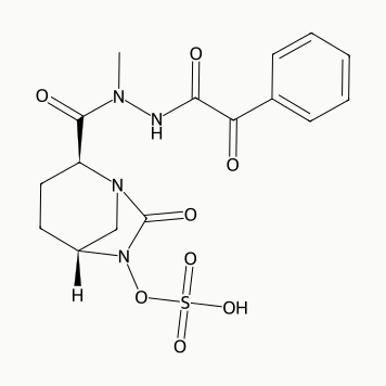 CN(NC(=O)C(=O)c1ccccc1)C(=O)[C@@H]1CC[C@@H]2CN1C(=O)N2OS(=O)(=O)O